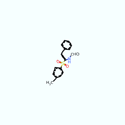 Cc1ccc(S(=O)(=O)C(=Cc2ccccc2)NC=O)cc1